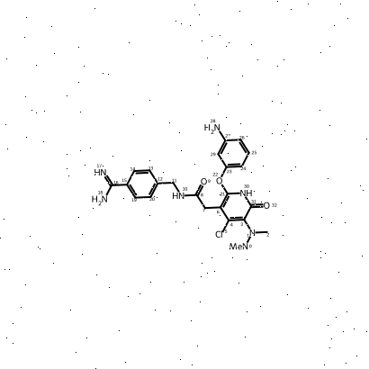 CNN(C)c1c(Cl)c(CC(=O)NCc2ccc(C(=N)N)cc2)c(Oc2cccc(N)c2)[nH]c1=O